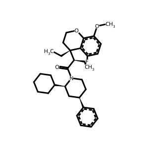 CC[C@@H](C(=O)N1CC[C@@H](c2ccccc2)C[C@H]1C1CCCCC1)[C@]1(CC)CCOc2c(OC)ccc(F)c21